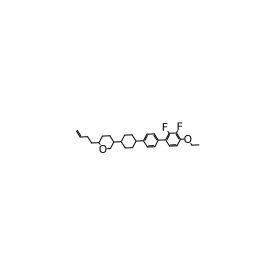 C=CCCC1CCC(C2CCC(c3ccc(-c4ccc(OCC)c(F)c4F)cc3)CC2)CO1